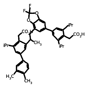 Cc1ccc(-c2cc(C(C)C)c(CC(=O)O)c(C(C)Cc3cc(-c4cc(C(C)C)c(CC(=O)O)c(C(C)C)c4)cc4c3OC(F)(F)O4)c2)cc1C